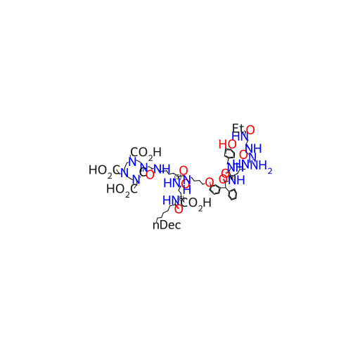 CCCCCCCCCCCCCCCC(=O)N[C@@H](CCC(=O)N[C@@H](CCCCNC(=O)CN1CCN(CC(=O)O)CCN(CC(=O)O)CCN(CC(=O)O)CC1)C(=O)NCCCCOc1cccc(C(C(=O)N[C@H](CCCN/C(N)=N\C(=O)NCCNC(=O)CC)C(=O)NCc2ccc(O)cc2)c2ccccc2)c1)C(=O)O